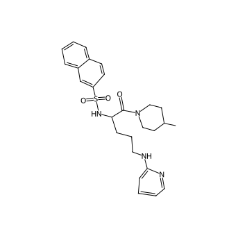 CC1CCN(C(=O)C(CCCNc2ccccn2)NS(=O)(=O)c2ccc3ccccc3c2)CC1